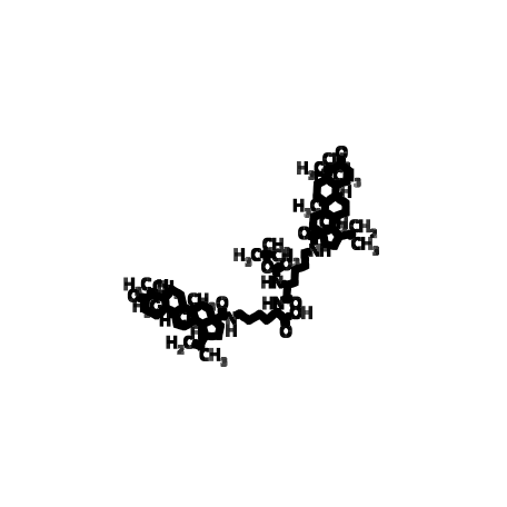 C=C(C)C1CCC2(C(=O)NCCCCC(NC(=O)C(CCCCNC(=O)C34CCC(C(=C)C)C3[C@H]3CC[C@@H]5[C@@]6(C)CCC(=O)C(C)(C)[C@@H]6CC[C@@]5(C)[C@]3(C)CC4)NC(=O)OC(C)(C)C)C(=O)O)CC[C@]3(C)[C@H](CC[C@@H]4[C@@]5(C)CCC(=O)C(C)(C)[C@@H]5CC[C@]43C)C12